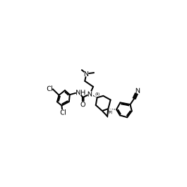 CN(C)CCN(C(=O)Nc1cc(Cl)cc(Cl)c1)[C@@H]1CC[C@@]2(c3cccc(C#N)c3)CC2C1